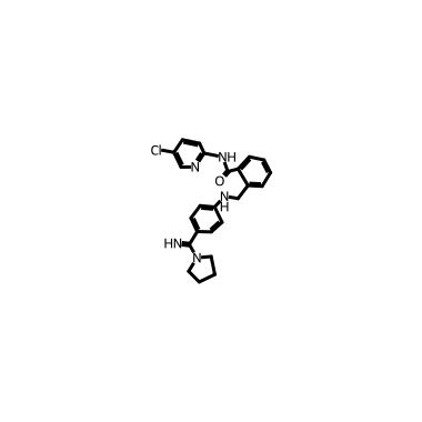 N=C(c1ccc(NCc2ccccc2C(=O)Nc2ccc(Cl)cn2)cc1)N1CCCC1